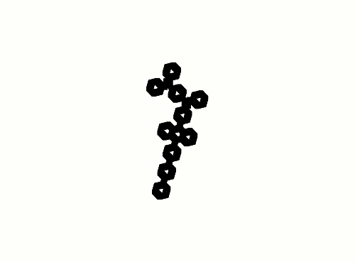 c1ccc(-c2ccc(-c3ccc(-c4c5ccccc5c(-c5ccc(N(c6ccccc6)c6ccc(N(c7ccccc7)c7ccccc7)cc6)cc5)c5ccccc45)cc3)cc2)cc1